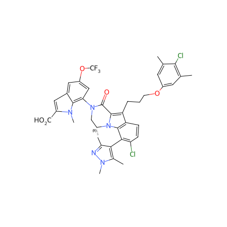 Cc1cc(OCCCc2c3n(c4c(-c5c(C)nn(C)c5C)c(Cl)ccc24)[C@H](C)CN(c2cc(OC(F)(F)F)cc4cc(C(=O)O)n(C)c24)C3=O)cc(C)c1Cl